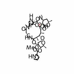 CO[C@]1(C)C[C@H](O[C@H]2[C@H](C)[C@@H](O[C@@H]3O[C@H](C)C[C@H](N(C)C)[C@H]3OC(=O)c3ccc[nH]3)[C@](C)(O)C[C@@H](C)CN(C)C(=O)CCNC(=O)[C@@H]2C)O[C@@H](C)[C@@H]1OC(=O)c1ccc[nH]1